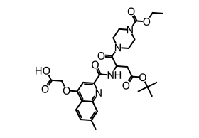 CCOC(=O)N1CCN(C(=O)C(CC(=O)OC(C)(C)C)NC(=O)c2cc(OCC(=O)O)c3ccc(C)cc3n2)CC1